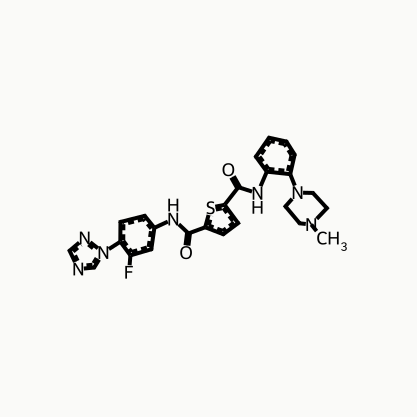 CN1CCN(c2ccccc2NC(=O)c2ccc(C(=O)Nc3ccc(-n4cncn4)c(F)c3)s2)CC1